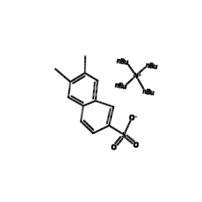 CCCC[N+](CCCC)(CCCC)CCCC.Cc1cc2ccc(S(=O)(=O)[O-])cc2cc1C